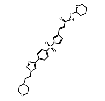 O=C(/C=C/c1ccn(S(=O)(=O)c2ccc(-c3cn(CCN4CCOCC4)nn3)cc2)c1)NOC1CCCCO1